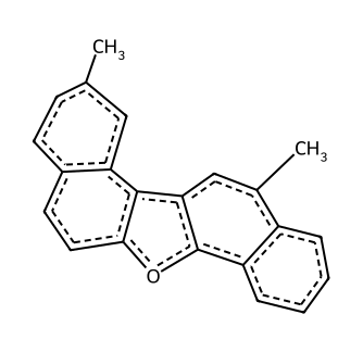 Cc1ccc2ccc3oc4c5ccccc5c(C)cc4c3c2c1